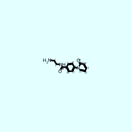 NCCNC(=O)c1ccc(-n2ccccc2=O)cc1